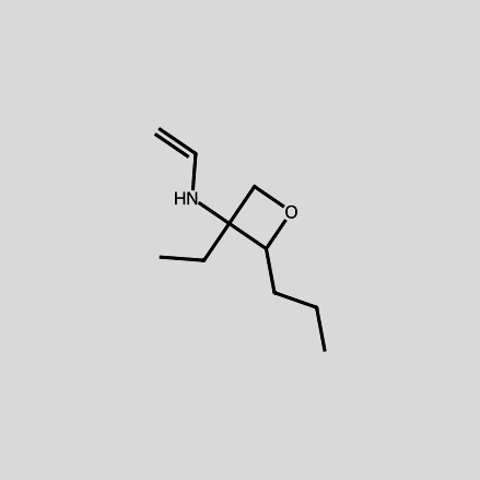 C=CNC1(CC)COC1CCC